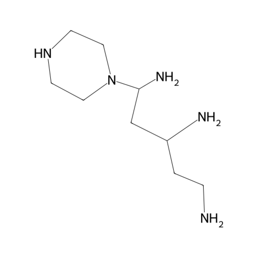 NCCC(N)CC(N)N1CCNCC1